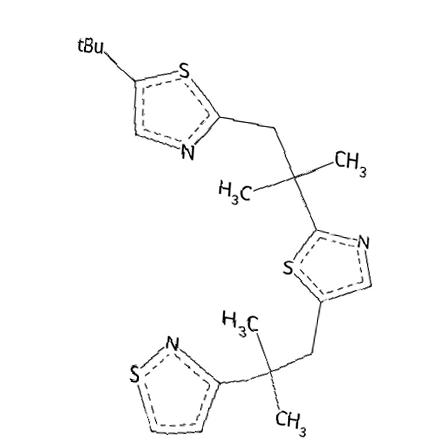 CC(C)(C)c1cnc(CC(C)(C)c2ncc(CC(C)(C)c3ccsn3)s2)s1